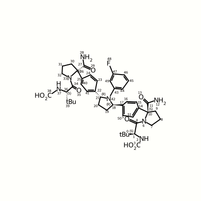 CC(C)(C)[C@H](NC(=O)O)C(=O)N1CCC[C@@]1(C(N)=O)c1ccc([C@H]2CC[C@H](c3ccc([C@]4(C(N)=O)CCCN4C(=O)[C@@H](NC(=O)O)C(C)(C)C)cc3)N2c2cccc(F)c2)cc1